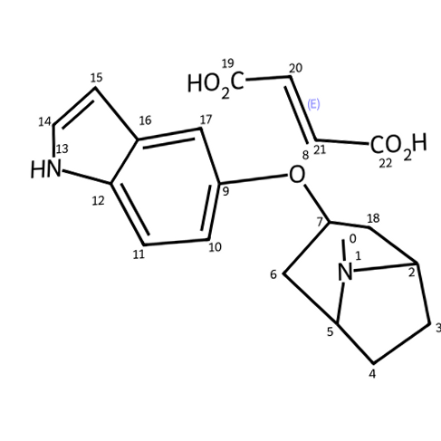 CN1C2CCC1CC(Oc1ccc3[nH]ccc3c1)C2.O=C(O)/C=C/C(=O)O